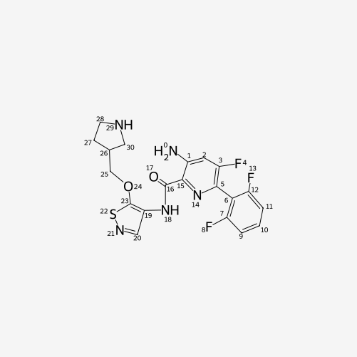 Nc1cc(F)c(-c2c(F)cccc2F)nc1C(=O)Nc1cnsc1OCC1CCNC1